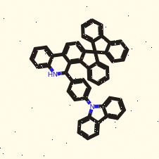 c1ccc2c(c1)NC(c1ccc(-n3c4ccccc4c4ccccc43)cc1)c1c-2ccc2c1-c1ccccc1C21c2ccccc2-c2ccccc21